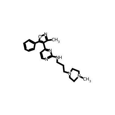 Cc1noc(-c2ccccc2)c1-c1ccnc(NCCCN2CCN(C)CC2)n1